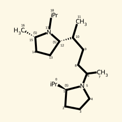 CC(C)[C@@H]1CCCN1C(C)CCC(C)[C@@H]1CC[C@H](C)N1C(C)C